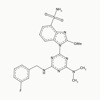 COc1nc2c(S(N)(=O)=O)cccc2n1-c1nc(NCc2cccc(F)c2)nc(N(C)C)n1